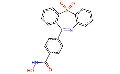 O=C(NO)c1ccc(C2=Nc3ccccc3S(=O)(=O)c3ccccc32)cc1